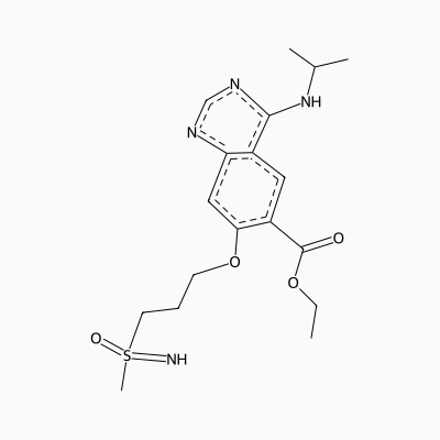 CCOC(=O)c1cc2c(NC(C)C)ncnc2cc1OCCCS(C)(=N)=O